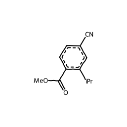 COC(=O)c1ccc(C#N)cc1C(C)C